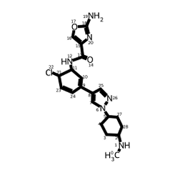 CNC1CCC(n2cc(C3=CC(NC(=O)c4coc(N)n4)C(Cl)C=C3)cn2)CC1